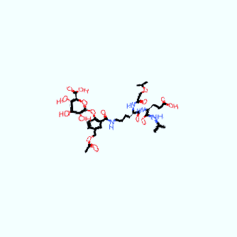 CC(=O)OCc1ccc(O[C@@H]2O[C@H](C(=O)O)[C@@H](O)[C@H](O)[C@H]2O)c(C(=O)NCCCC[C@H](NC(=O)COC(C)C)C(=O)N[C@@H](CCC(=O)O)C(=O)NC(C)C)c1